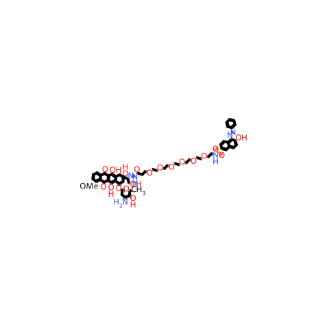 COc1cccc2c1C(=O)c1c(O)c3c(c(O)c1C2=O)C[C@](O)(/C(CO)=N/NC(=O)CCOCCOCCOCCOCCOCCOCCNS(=O)(=O)c1ccc2c(N=Nc4ccccc4)c(O)ccc2c1)C[C@@H]3O[C@H]1C[C@@H](N)[C@H](O)C(C)O1